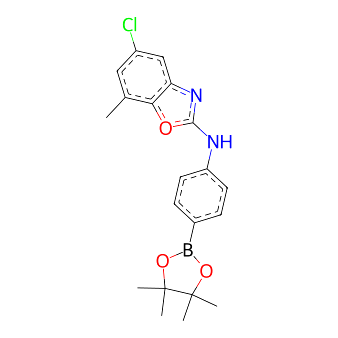 Cc1cc(Cl)cc2nc(Nc3ccc(B4OC(C)(C)C(C)(C)O4)cc3)oc12